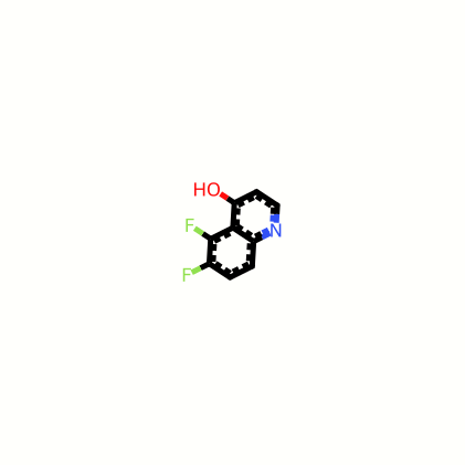 Oc1ccnc2ccc(F)c(F)c12